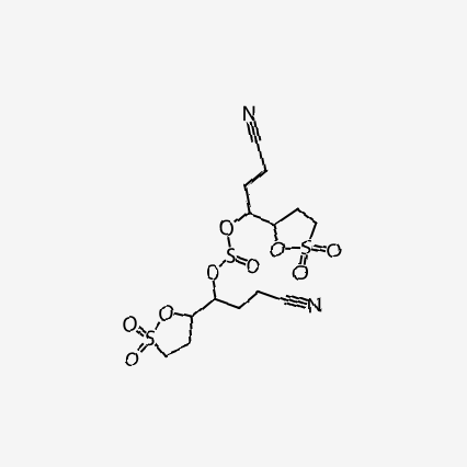 N#CCCC(OS(=O)OC(CCC#N)C1CCS(=O)(=O)O1)C1CCS(=O)(=O)O1